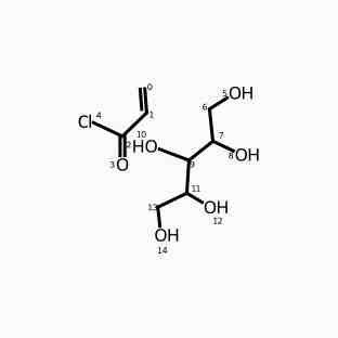 C=CC(=O)Cl.OCC(O)C(O)C(O)CO